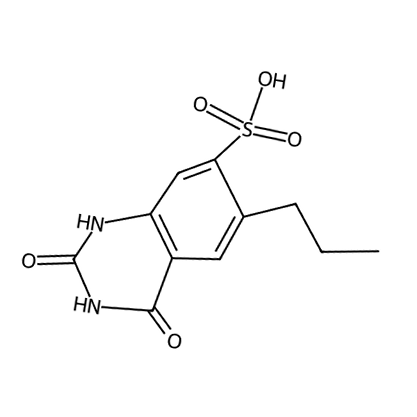 CCCc1cc2c(=O)[nH]c(=O)[nH]c2cc1S(=O)(=O)O